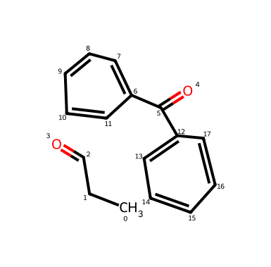 CCC=O.O=C(c1ccccc1)c1ccccc1